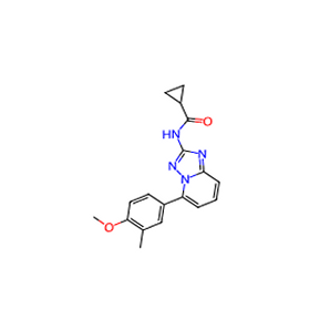 COc1ccc(-c2cccc3nc(NC(=O)C4CC4)nn23)cc1C